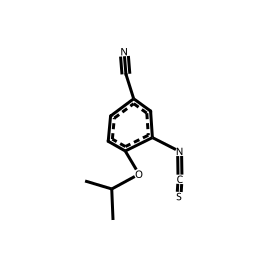 CC(C)Oc1ccc(C#N)cc1N=C=S